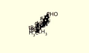 CC(C)(C)OC(=O)NC(CO[Si](C)(C)C(C)(C)C)Cc1nc2c(F)c3c(c(F)c2[nH]1)CC(C=O)C3